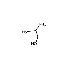 OCC(P)S